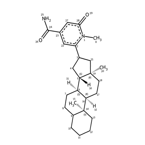 Cn1c(C2C[C@H]3[C@@H]4CCC5CCCC[C@]5(C)[C@@H]4CC[C@]3(C)C2)cc(C(N)=O)cc1=O